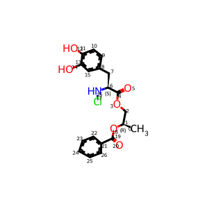 C[C@H](COC(=O)[C@H](Cc1ccc(O)c(O)c1)NCl)OC(=O)c1ccccc1